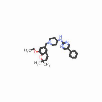 CCOc1cc(CN2CCC(Nc3ncc(-c4ccccc4)cn3)CC2)cc2c1OC(C)(C)C=C2